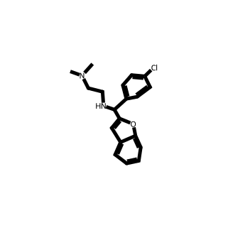 CN(C)CCNC(c1ccc(Cl)cc1)c1cc2ccccc2o1